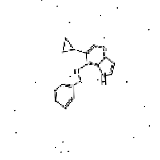 c1ccc(COc2c(C3CC3)cnc3cc[nH]c23)cc1